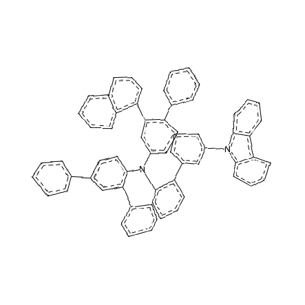 c1ccc(-c2ccc(N(c3ccc(-c4ccccc4)c(-c4cccc5ccccc45)c3)c3ccccc3-c3cccc(-n4c5ccccc5c5ccccc54)c3)c(-c3ccccc3)c2)cc1